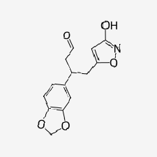 O=CCC(Cc1cc(O)no1)c1ccc2c(c1)OCO2